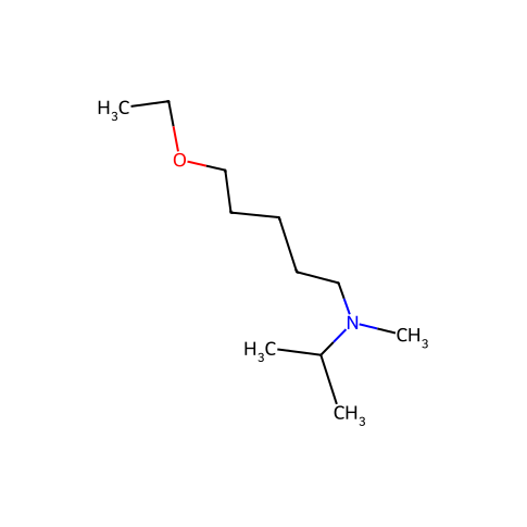 CCOCCCCCN(C)C(C)C